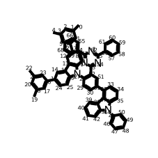 Cc1cc(C)cc(-c2ccc3c(c2)c2cc(-c4cc(C)cc(C)c4)ccc2n3-c2ccc(-c3cccc4c3c3ccccc3n4-c3ccccc3)cc2-c2nc(-c3ccccc3)nc(-c3ccccc3)n2)c1